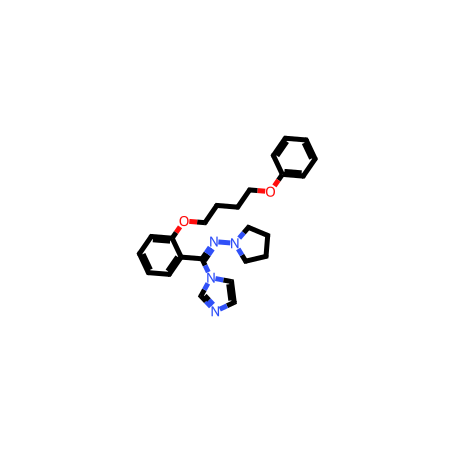 c1ccc(OCCCCOc2ccccc2C(=NN2CCCC2)n2ccnc2)cc1